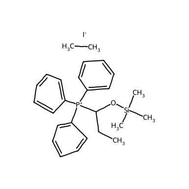 CC.CCC(O[Si](C)(C)C)[P+](c1ccccc1)(c1ccccc1)c1ccccc1.[I-]